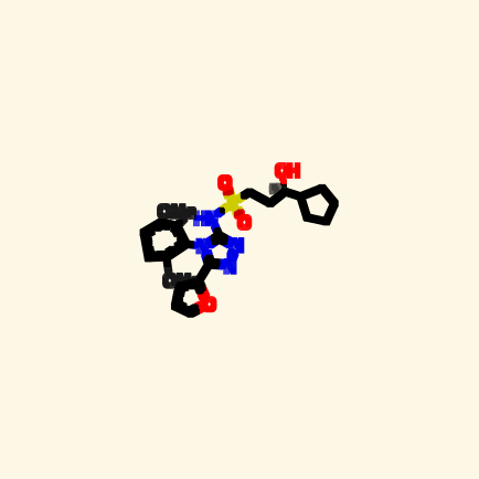 COc1cccc(OC)c1-n1c(NS(=O)(=O)CC[C@H](O)C2CCCC2)nnc1-c1ccco1